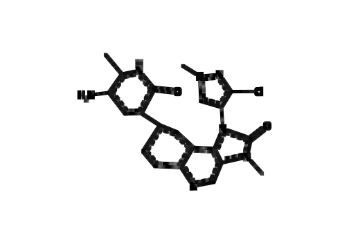 Cc1[nH]c(=O)c(-c2ccc3ncc4c(c3c2)n(-c2cn(C)nc2Cl)c(=O)n4C)cc1N